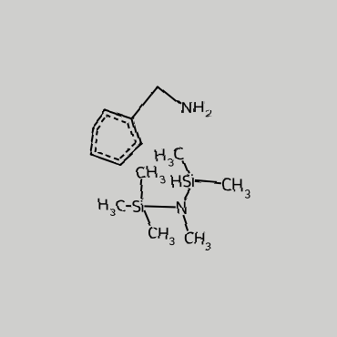 CN([SiH](C)C)[Si](C)(C)C.NCc1ccccc1